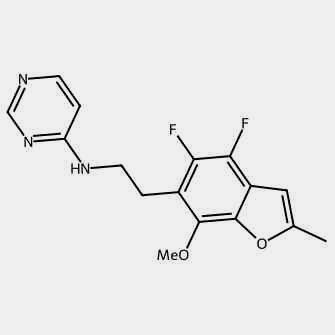 COc1c(CCNc2ccncn2)c(F)c(F)c2cc(C)oc12